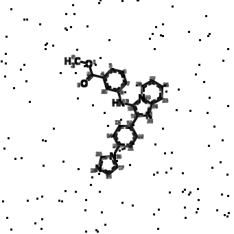 COC(=O)c1cccc(Nc2c(-c3ccc(-n4ccnc4)cc3)nc3ccccn23)c1